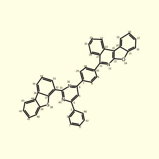 c1ccc(-c2cc(-c3ccc(-c4nc5oc6ccccc6c5c5ccccc45)cc3)nc(-c3cccc4c3sc3ccccc34)n2)cc1